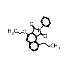 CCCc1cccc2cc(OCC)c3c(c12)C(=O)N(c1cc[c]cc1)C3=O